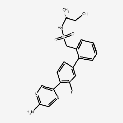 C[C@H](CO)NS(=O)(=O)Cc1ccccc1-c1ccc(-c2cnc(N)cn2)c(F)c1